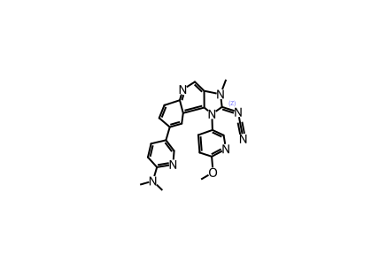 COc1ccc(-n2/c(=N\C#N)n(C)c3cnc4ccc(-c5ccc(N(C)C)nc5)cc4c32)cn1